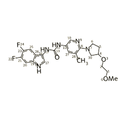 COCCOC1CCN(c2ncc(NC(=O)Nc3c[nH]c4cc(F)c(F)cc34)cc2C)C1